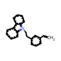 C=Cc1cccc(CCn2c3ccccc3c3ccccc32)c1